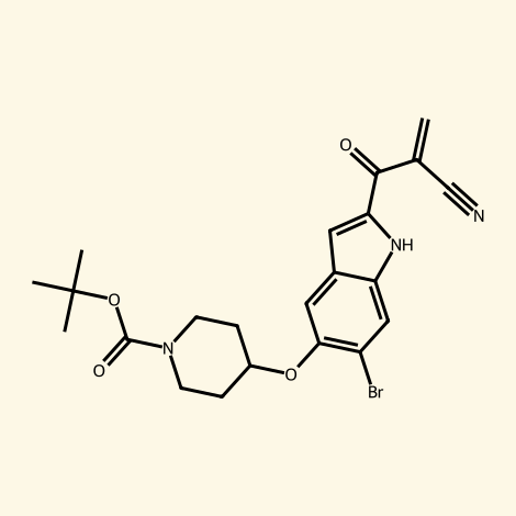 C=C(C#N)C(=O)c1cc2cc(OC3CCN(C(=O)OC(C)(C)C)CC3)c(Br)cc2[nH]1